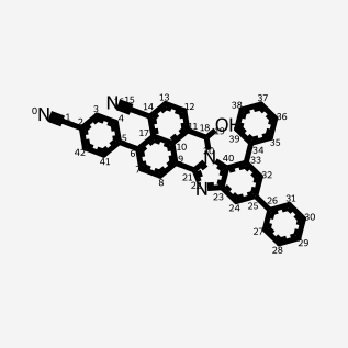 N#Cc1ccc(-c2ccc3c4c(ccc(C#N)c24)C(O)n2c-3nc3cc(-c4ccccc4)cc(-c4ccccc4)c32)cc1